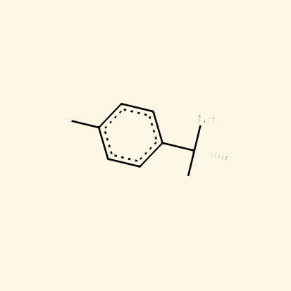 C[C@](N)(I)c1ccc(F)cc1